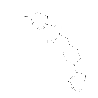 COc1ccc(NC(=N)CC2CCC(c3ccccc3)CC2)cc1